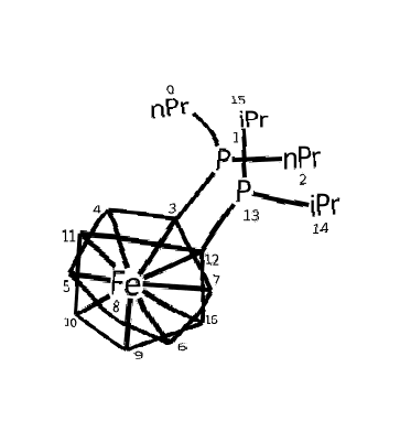 CCCP(CCC)[C]12[CH]3[CH]4[CH]5[CH]1[Fe]45321678[CH]2[CH]1[CH]6[C]7(P(C(C)C)C(C)C)[CH]28